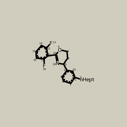 CCCCCCCc1cccc(C2CCOC(c3c(F)cccc3F)=N2)c1